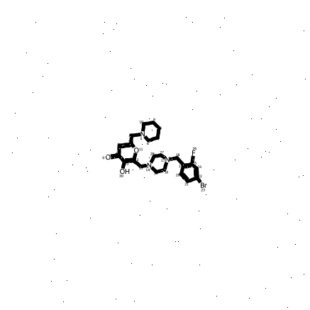 O=c1cc(CN2CCCCC2)oc(CN2CCN(Cc3ccc(Br)cc3F)CC2)c1O